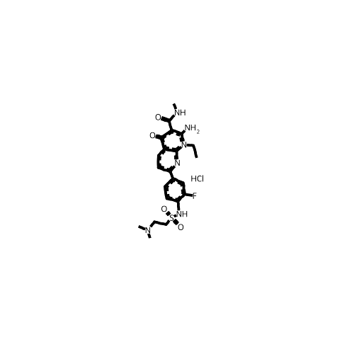 CCn1c(N)c(C(=O)NC)c(=O)c2ccc(-c3ccc(NS(=O)(=O)CCN(C)C)c(F)c3)nc21.Cl